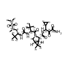 CN(C)S(=O)(=O)N(C)C[C@@H](NC(=O)N[C@H](C(=O)N1C[C@H]2[C@@H]([C@H]1C(=O)NC(C(=O)C(N)=O)C1CC1)C2(C)C)C(C)(C)C)C(C)(C)C